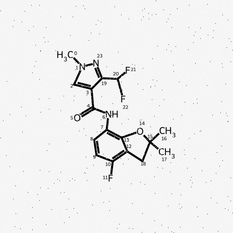 Cn1cc(C(=O)Nc2ccc(F)c3c2OC(C)(C)C3)c(C(F)F)n1